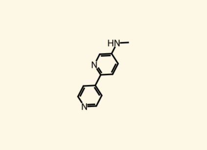 CNc1ccc(-c2ccncc2)nc1